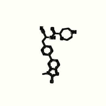 Cn1c(=O)oc2ccc(-c3ccc(CC(C#N)NC(=O)C4CCNCCO4)cc3)cc21